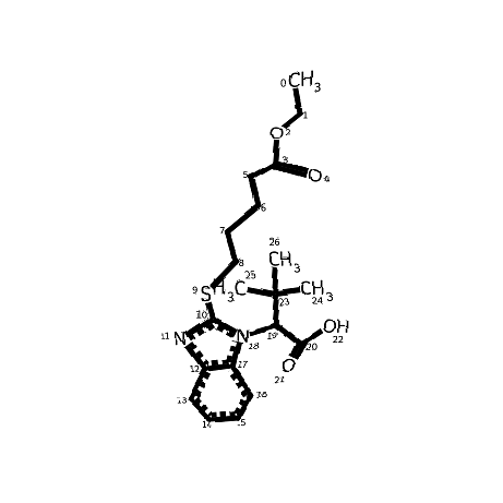 CCOC(=O)CCCCSc1nc2ccccc2n1C(C(=O)O)C(C)(C)C